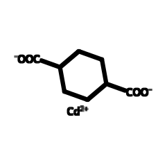 O=C([O-])C1CCC(C(=O)[O-])CC1.[Cd+2]